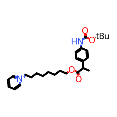 CC(C(=O)OCCCCCCCC[n+]1ccccc1)c1ccc(NC(=O)OC(C)(C)C)cc1